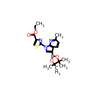 CCOC(=O)c1csc(-n2cc(B3OC(C)(C)C(C)(C)O3)c3ccc(C)nc32)n1